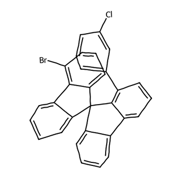 Clc1cccc(-c2cccc3c2C2(c4ccccc4-3)c3ccccc3-c3c(Br)cccc32)c1